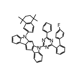 CC1(C)CCC(C)(C)c2cc(-n3c4ccccc4c4cc5c6ccccc6n(-c6nc(-c7ccccc7)nc(-c7ccccc7-c7ccc(F)cc7)n6)c5cc43)ccc21